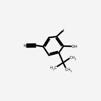 CC(C)(C)c1cc(C#N)cc(I)c1O